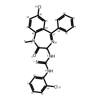 CN1C(=O)C(NC(=S)Nc2ccccc2Cl)N=C(c2ccccc2)c2cc(Cl)ccc21